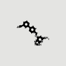 N#Cc1cccc(-c2ccc(COc3cc(N)nc4[nH]nnc34)cc2)c1